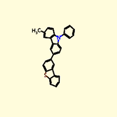 Cc1ccc2c(c1)c1cc(-c3ccc4sc5ccccc5c4c3)ccc1n2-c1ccccc1